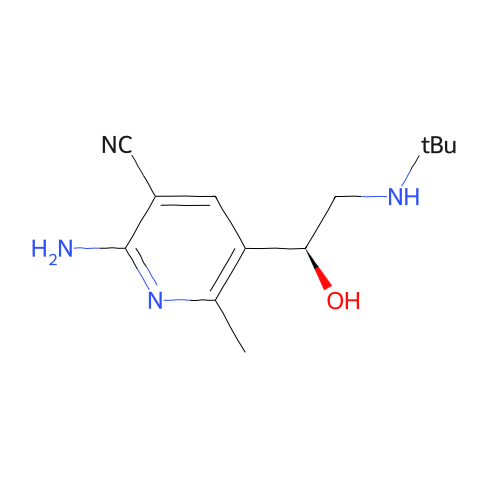 Cc1nc(N)c(C#N)cc1[C@H](O)CNC(C)(C)C